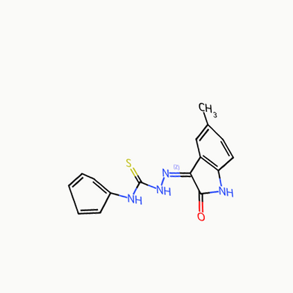 Cc1ccc2c(c1)/C(=N/NC(=S)Nc1ccccc1)C(=O)N2